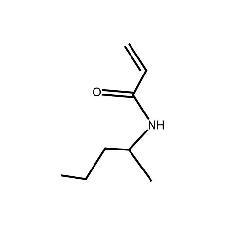 C=CC(=O)NC(C)CCC